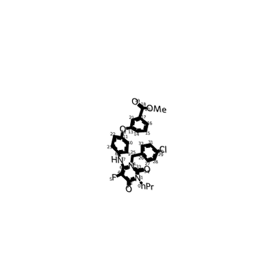 CCCn1c(=O)c(F)c(Nc2ccc(Oc3cccc(C(=O)OC)c3)cc2)n(Cc2ccc(Cl)cc2)c1=O